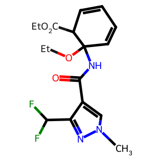 CCOC(=O)C1C=CC=CC1(NC(=O)c1cn(C)nc1C(F)F)OCC